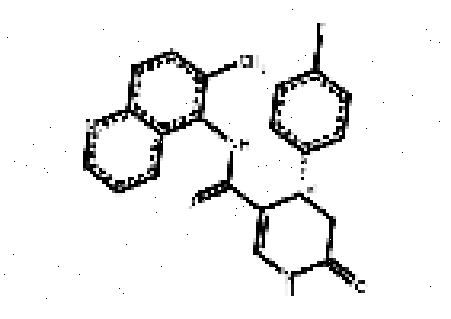 Cc1ccc2ncccc2c1NC(=O)C1=CNC(=O)C[C@H]1c1ccc(F)cc1